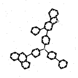 c1ccc(-c2ccc(N(c3ccc(-c4cc5oc6ccccc6c5cc4-c4ccccc4)cc3)c3ccc(-c4cc5ccccc5c5ccccc45)cc3)cc2)cc1